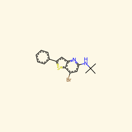 CC(C)(C)Nc1cc(Br)c2sc(-c3ccccc3)cc2n1